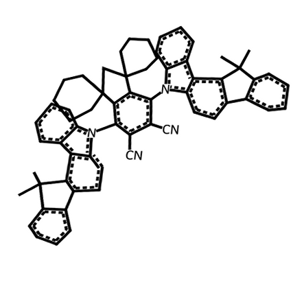 CC1(C)c2ccccc2-c2ccc3c(c21)c1ccccc1n3-c1c(C#N)c(C#N)c(-n2c3ccccc3c3c4c(ccc32)-c2ccccc2C4(C)C)c2c1C1(CCCCC1)CC21CCCCC1